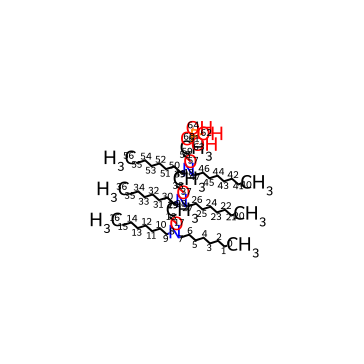 CCCCCCCCN(CCCCCCCC)OCC.CCCCCCCCN(CCCCCCCC)OCC.CCCCCCCCN(CCCCCCCC)OCC.O=P(O)(O)O